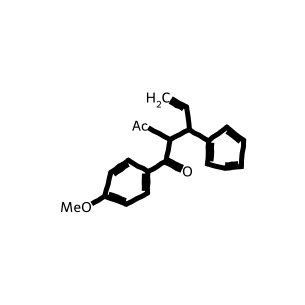 C=CC(c1ccccc1)C(C(C)=O)C(=O)c1ccc(OC)cc1